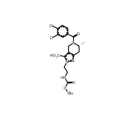 C[C@@H]1Cc2nn(CCNC(=O)OC(C)(C)C)c(C(=O)O)c2CN1C(=O)c1ccc(Cl)c(Cl)c1